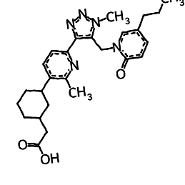 CCCc1ccc(=O)n(Cc2c(-c3ccc(C4CCCC(CC(=O)O)C4)c(C)n3)nnn2C)c1